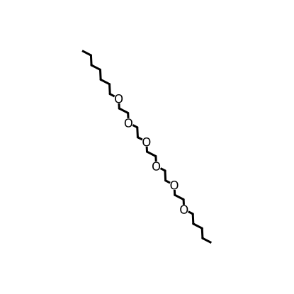 CCCCCCCOCCOCCOCCOCCOCCOCCCCC